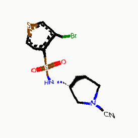 N#CN1CC[C@@H](NS(=O)(=O)c2cscc2Br)C1